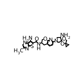 Cc1cnc2c(N)c(C(=O)NC3COc4nc(N5CC(N)C6(C5)OCC5(CC5)O6)ccc4C3)sc2n1